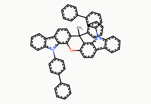 CC1(c2ccccc2)c2ccc3c4ccccc4n(-c4ccc(-c5ccccc5)cc4)c3c2Oc2ccc3c4ccccc4n(-c4cccc(-c5ccccc5)c4)c3c21